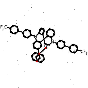 FC(F)(F)c1ccc(-c2ccc(N3c4ccccc4C4(c5ccccc5N(c5ccc(-c6ccc(C(F)(F)F)cc6)cc5)c5ccc(-c6ccccc6)cc54)c4cc(-c5ccccc5)ccc43)cc2)cc1